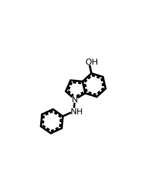 Oc1cccc2c1ccn2Nc1ccccc1